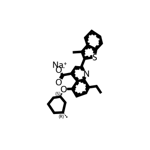 CCc1ccc(O[C@H]2CCC[C@@H](C)C2)c2c(C(=O)[O-])cc(-c3sc4ccccc4c3C)nc12.[Na+]